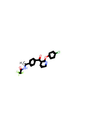 C[C@H](NC(=O)C(F)(F)F)c1ccc(C(=O)c2cccnc2Oc2ccc(Cl)cc2)cc1